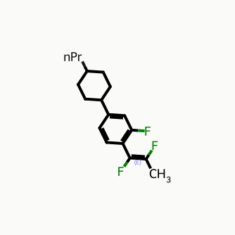 CCCC1CCC(c2ccc(/C(F)=C(/C)F)c(F)c2)CC1